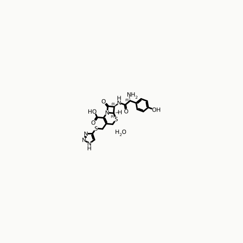 N[C@@H](C(=O)N[C@@H]1C(=O)N2C(C(=O)O)=C(CSc3c[nH]nn3)CS[C@H]12)c1ccc(O)cc1.O